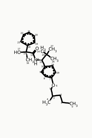 CCCC(C)COc1ccc([C@@H](NC(=O)[C@](C)(O)c2ccccc2)C(C)(C)C)cc1